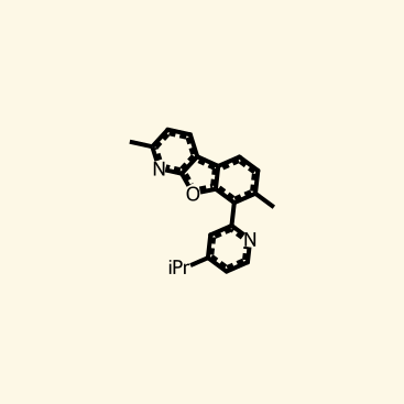 Cc1ccc2c(n1)oc1c(-c3cc(C(C)C)ccn3)c(C)ccc12